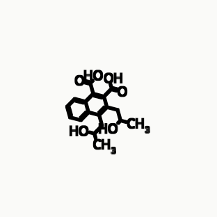 CC(O)Cc1c(C(=O)O)c(C(=O)O)c2ccccc2c1CC(C)O